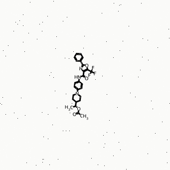 CC(=O)OC(C)C1CCN(c2ccc(NC(=O)c3nc(-c4ccccc4)oc3C(F)(F)F)cc2)CC1